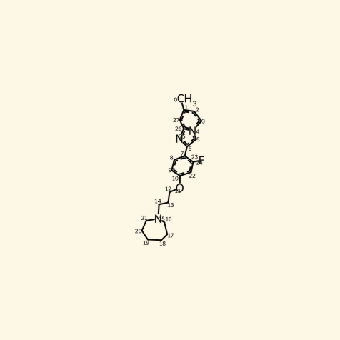 Cc1ccn2cc(-c3ccc(OCCCN4CCCCCC4)cc3F)nc2c1